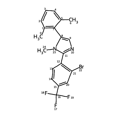 Cc1cccc(C)c1-c1cnc(-c2ccc(C(F)(F)F)cc2Br)n1C